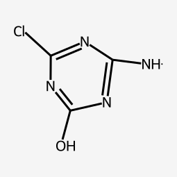 [NH]c1nc(O)nc(Cl)n1